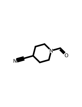 N#CC1CCN(C=O)CC1